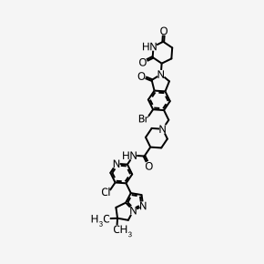 CC1(C)Cc2c(-c3cc(NC(=O)C4CCN(Cc5cc6c(cc5Br)C(=O)N(C5CCC(=O)NC5=O)C6)CC4)ncc3Cl)cnn2C1